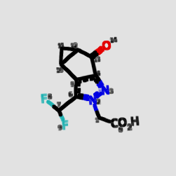 O=C(O)Cn1nc2c(c1C(F)F)C1CC1C2=O